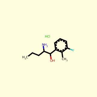 CCCC(N)C(O)c1cccc(F)c1C.Cl